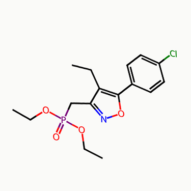 CCOP(=O)(Cc1noc(-c2ccc(Cl)cc2)c1CC)OCC